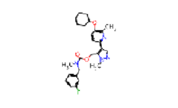 Cc1nc(-c2cnn(C)c2COC(=O)N(C)Cc2cccc(F)c2)ccc1OC1CCCCC1